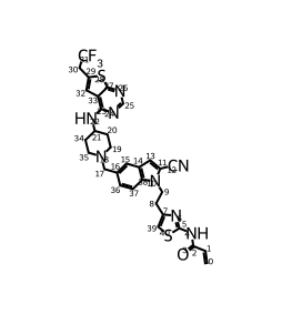 C=CC(=O)Nc1nc(CCn2c(C#N)cc3cc(CN4CCC(Nc5ncnc6sc(CC(F)(F)F)cc56)CC4)ccc32)cs1